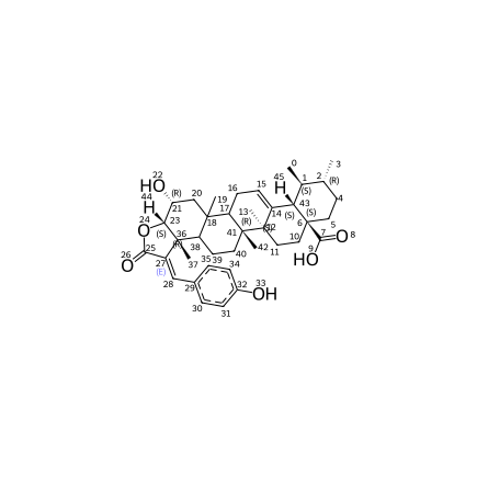 C[C@H]1[C@H](C)CC[C@]2(C(=O)O)CC[C@]3(C)C(=CCC4C5(C)C[C@@H](O)[C@H]6OC(=O)/C(=C/c7ccc(O)cc7)[C@@]6(C)C5CC[C@]43C)[C@H]12